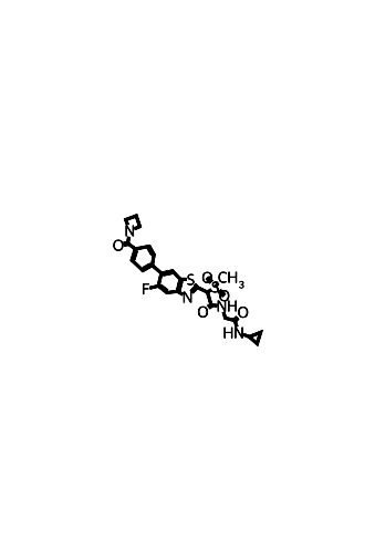 CS(=O)(=O)C(C(=O)NCC(=O)NC1CC1)c1nc2cc(F)c(-c3ccc(C(=O)N4CCC4)cc3)cc2s1